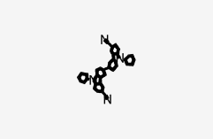 N#Cc1ccc2c(c1)c1cc(-c3ccc4c(c3)c3cc(C#N)ccc3n4-c3ccccc3)ccc1n2-c1ccccc1